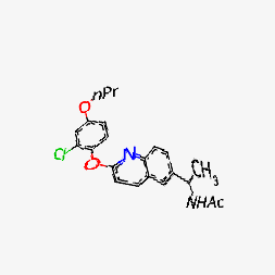 CCCOc1ccc(Oc2ccc3cc(C(C)NC(C)=O)ccc3n2)c(Cl)c1